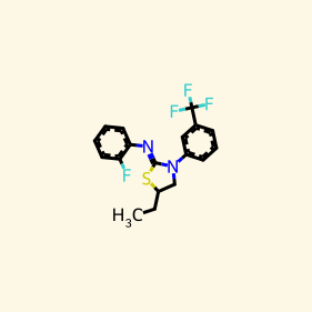 CCC1CN(c2cccc(C(F)(F)F)c2)C(=Nc2ccccc2F)S1